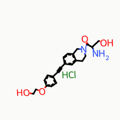 Cl.NC(CO)C(=O)N1CCc2cc(C#Cc3ccc(OCCO)cc3)ccc2C1